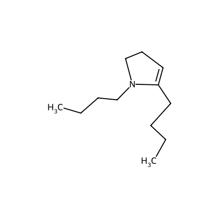 CCCCC1=CCCN1CCCC